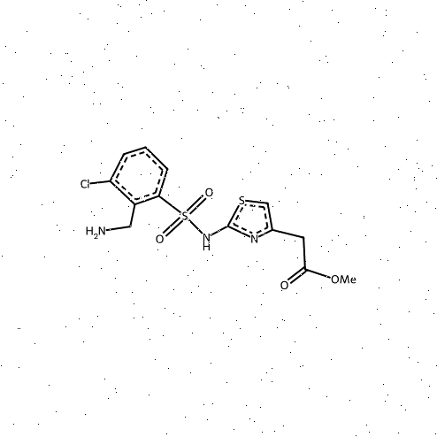 COC(=O)Cc1csc(NS(=O)(=O)c2cccc(Cl)c2CN)n1